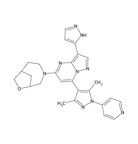 Cc1nn(-c2ccncc2)c(C)c1-c1cc(N2CCC3COC(C3)C2)nc2c(-c3ccn[nH]3)cnn12